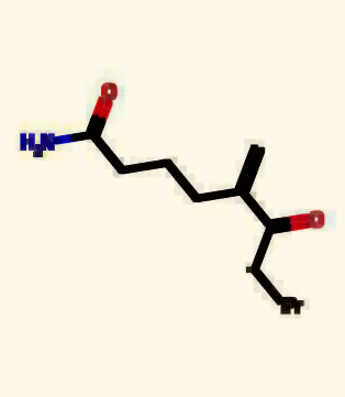 C=C(CCCC(N)=O)C(=O)[CH]C(C)C